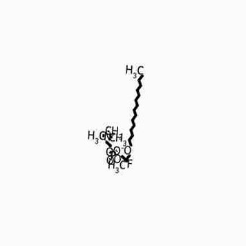 CCCCCCCCCCCCCCCCOCC(C)(F)COP(=O)([O-])OCC[N+](C)(C)C